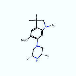 COc1cc2c(cc1N1C[C@@H](C)N[C@@H](C)C1)N(C(C)=O)CC2(C)C